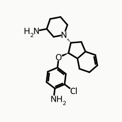 Nc1ccc(O[C@@H]2C3CCC=CC3C[C@H]2N2CCCC(N)C2)cc1Cl